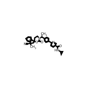 C[C@@H](c1ccc(-c2ccc(C(=O)NC3CC3)cn2)cc1)N1CCC(CC(C)(C)C#N)(c2ccccc2)OC1=O